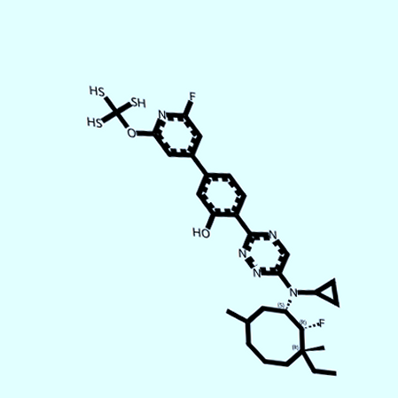 CC[C@]1(C)CCCC(C)C[C@H](N(c2cnc(-c3ccc(-c4cc(F)nc(OC(S)(S)S)c4)cc3O)nn2)C2CC2)[C@@H]1F